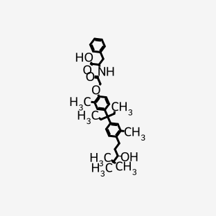 CCC(CC)(c1ccc(CC[C@H](O)C(C)(C)C)c(C)c1)c1ccc(OCC(=O)NC(Cc2ccccc2)C(=O)O)c(C)c1